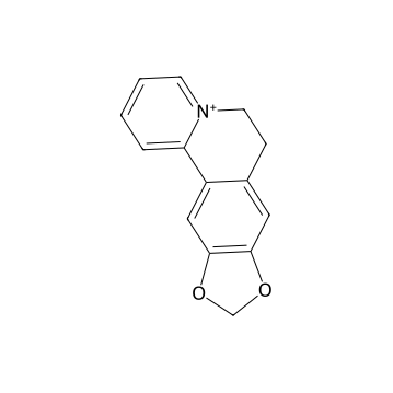 c1cc[n+]2c(c1)-c1cc3c(cc1CC2)OCO3